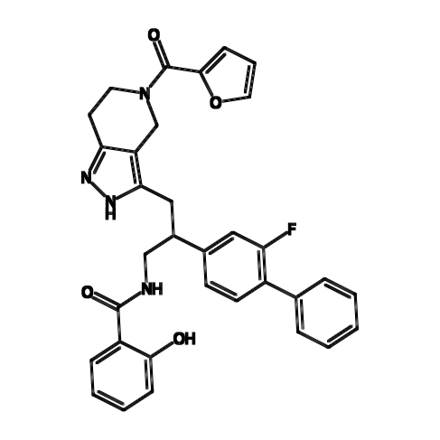 O=C(NCC(Cc1[nH]nc2c1CN(C(=O)c1ccco1)CC2)c1ccc(-c2ccccc2)c(F)c1)c1ccccc1O